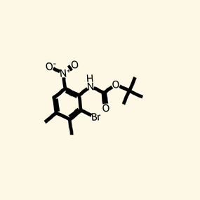 Cc1cc([N+](=O)[O-])c(NC(=O)OC(C)(C)C)c(Br)c1C